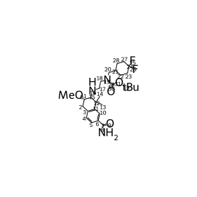 CO[C@H]1Cc2ccc(C(N)=O)cc2C(C)(C)[C@@H]1NCCN(CC1CCC(F)(F)CC1)C(=O)OC(C)(C)C